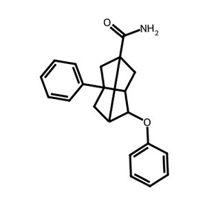 NC(=O)C12CC3C(Oc4ccccc4)C1CC3(c1ccccc1)C2